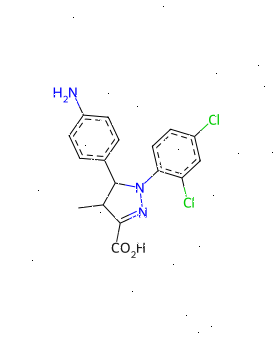 CC1C(C(=O)O)=NN(c2ccc(Cl)cc2Cl)C1c1ccc(N)cc1